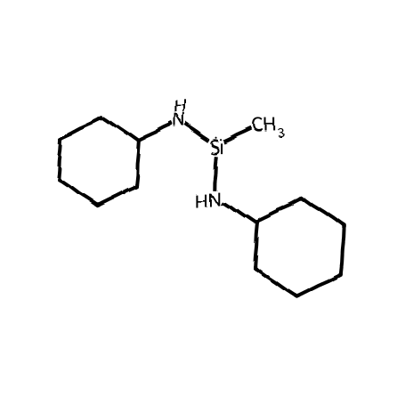 C[Si](NC1CCCCC1)NC1CCCCC1